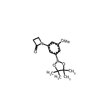 COc1cc(B2OC(C)(C)C(C)(C)O2)cc(N2CCC2=O)c1